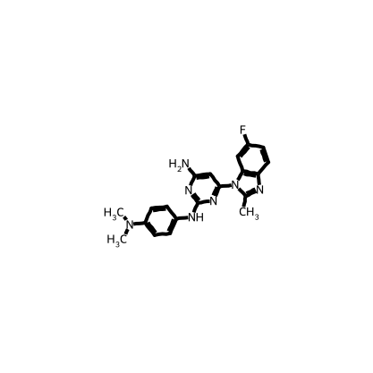 Cc1nc2ccc(F)cc2n1-c1cc(N)nc(Nc2ccc(N(C)C)cc2)n1